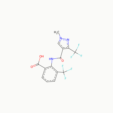 Cn1cc(C(=O)Nc2c(C(=O)O)cccc2C(F)(F)F)c(C(F)(F)F)n1